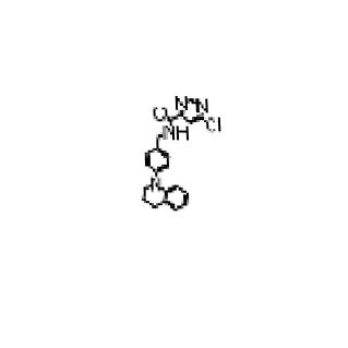 O=C(NCc1ccc(N2CCCc3ccccc32)cc1)c1cc(Cl)ncn1